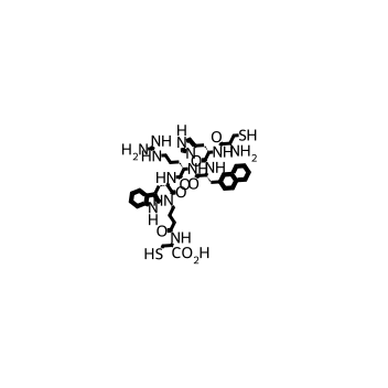 N=C(N)NCCC[C@H](NC(=O)[C@@H](Cc1ccc2ccccc2c1)NC(=O)[C@H](Cc1c[nH]cn1)NC(=O)[C@@H](N)CS)C(=O)N[C@@H](Cc1c[nH]c2ccccc12)C(=O)NCCCC(=O)N[C@@H](CS)C(=O)O